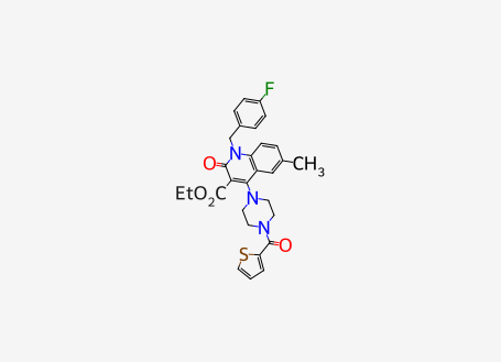 CCOC(=O)c1c(N2CCN(C(=O)c3cccs3)CC2)c2cc(C)ccc2n(Cc2ccc(F)cc2)c1=O